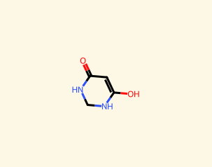 O=C1C=C(O)NCN1